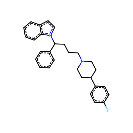 Fc1ccc(C2CCN(CCCC(c3ccccc3)n3ccc4ccccc43)CC2)cc1